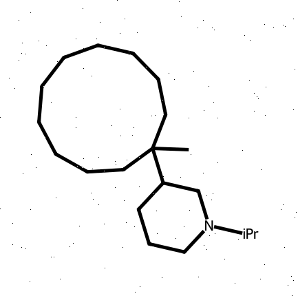 CC(C)N1CCCC(C2(C)CCCCCCCCCC2)C1